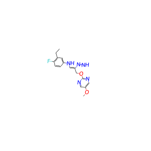 CCc1cc(N/C=C(/COc2ncc(OC)cn2)N=N)ccc1F